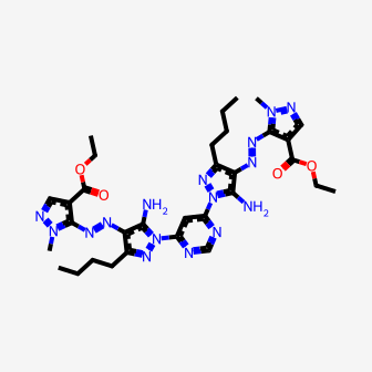 CCCCc1nn(-c2cc(-n3nc(CCCC)c(/N=N/c4c(C(=O)OCC)cnn4C)c3N)ncn2)c(N)c1/N=N/c1c(C(=O)OCC)cnn1C